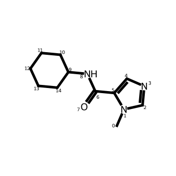 Cn1cncc1C(=O)NC1CCCCC1